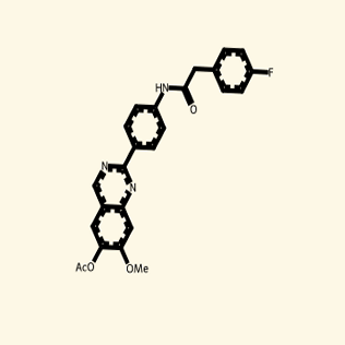 COc1cc2nc(-c3ccc(NC(=O)Cc4ccc(F)cc4)cc3)ncc2cc1OC(C)=O